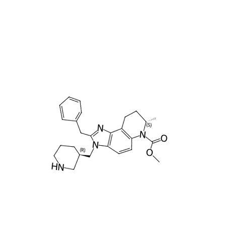 COC(=O)N1c2ccc3c(nc(Cc4ccccc4)n3C[C@@H]3CCCNC3)c2CC[C@@H]1C